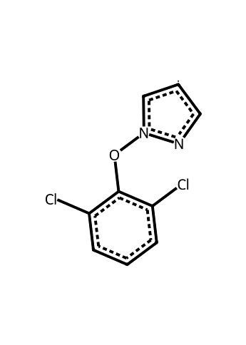 Clc1cccc(Cl)c1On1c[c]cn1